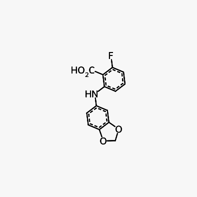 O=C(O)c1c(F)cccc1Nc1ccc2c(c1)OCO2